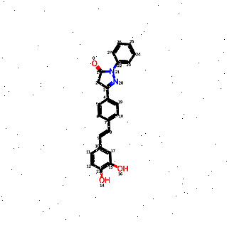 O=C1CC(c2ccc(/C=C/c3ccc(O)c(O)c3)cc2)=NN1c1ccccc1